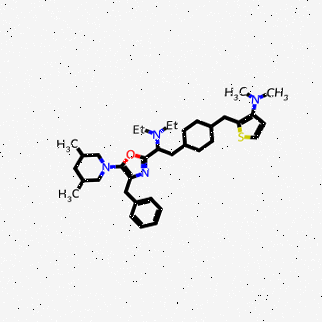 CCN(CC)C(CC1CCC(Cc2sccc2N(C)C)CC1)c1nc(Cc2ccccc2)c(N2CC(C)CC(C)C2)o1